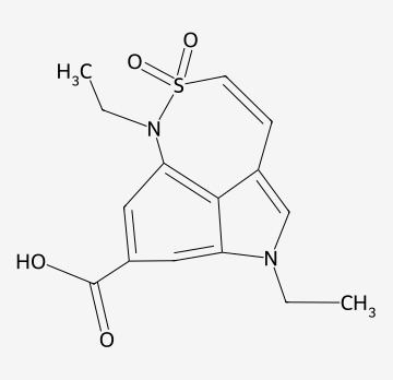 CCN1c2cc(C(=O)O)cc3c2c(cn3CC)C=CS1(=O)=O